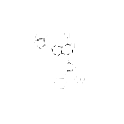 CNCc1nc(-c2cnc(N)c3cc(-c4cnn(C)c4C)ccc23)sc1C1CCOCC1